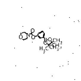 CC1(C)OB(c2cccc(OC(=O)N3CCOCC3)c2)OC1(C)C